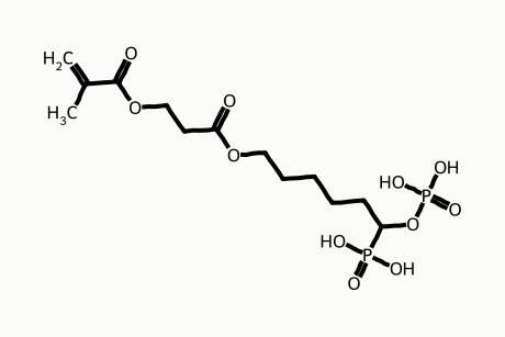 C=C(C)C(=O)OCCC(=O)OCCCCCC(OP(=O)(O)O)P(=O)(O)O